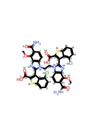 COc1c(C(N)=O)ccc2c1nc(-c1c(C(=O)O)sc3cccc(Cl)c13)n2CCn1c(-c2c(C(=O)O)sc3cccc(Cl)c23)nc2c(OC)c(C(N)=O)ccc21